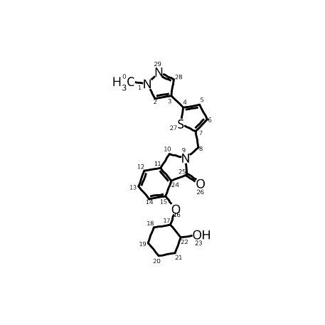 Cn1cc(-c2ccc(CN3Cc4cccc(OC5CCCCC5O)c4C3=O)s2)cn1